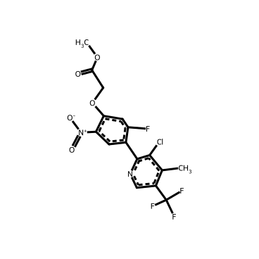 COC(=O)COc1cc(F)c(-c2ncc(C(F)(F)F)c(C)c2Cl)cc1[N+](=O)[O-]